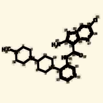 CN1CCN(C2CCN(c3ccncc3NC(=O)c3c(N)nn4cc(Cl)cnc34)CC2)CC1